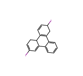 IC1=CCC2C(=C1)c1ccccc1C1=C2C=CC(I)C1